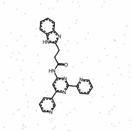 O=C(CCc1nc2ccccc2[nH]1)Nc1cc(-c2cccnc2)nc(-c2ccccn2)n1